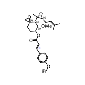 CO[C@@H]1C(OC(=O)/C=C/c2ccc(OC(C)C)cc2)CC[C@]2(CO2)[C@H]1C1(C)O[C@H]1CC=C(C)C